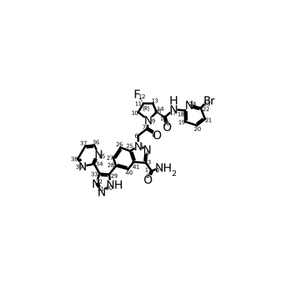 NC(=O)c1nn(CC(=O)N2C[C@H](F)C[C@H]2C(=O)Nc2cccc(Br)n2)c2ccc(-c3[nH]nnc3-c3ncccn3)cc12